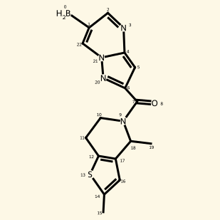 Bc1cnc2cc(C(=O)N3CCc4sc(C)cc4C3C)nn2c1